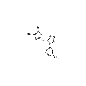 CC(C)(C)c1nc(Sc2nnnn2-c2cccc(C(F)(F)F)c2)sc1Br